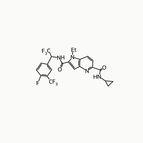 CCn1c(C(=O)NC(c2ccc(F)c(C(F)(F)F)c2)C(F)(F)F)cc2nc(C(=O)NC3CC3)ccc21